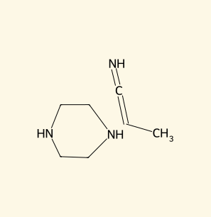 C1CNCCN1.CC=C=N